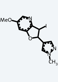 COc1cnc2c(c1)OC(c1cnn(C)c1)C2I